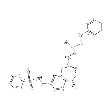 Cl.O=S(=O)(NCc1ccc2c(c1)CC(NC[C@H](O)COc1ccccc1)CCC2)c1ccccc1